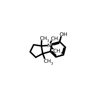 CN(C)C1(C)CCCC1(C)c1cccc(O)c1